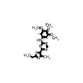 CCc1nc(C)c(-c2ncnc(Nc3cc(OC)c(OC)c(OC)c3)n2)s1